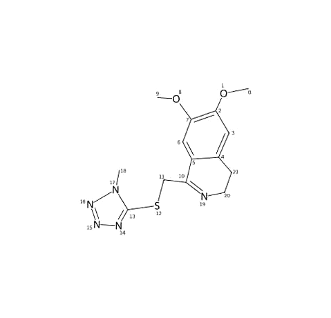 COc1cc2c(cc1OC)C(CSc1nnnn1C)=NCC2